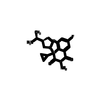 C[C@H](N)[C@@H]1CCN([N+]2(C3CC3)C(=O)N(N)C(=O)c3cc(F)cc(Cl)c32)C1